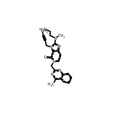 CC#CCn1c(N(C)CCN)nc2ccn(Cc3nc(C)c4ccccc4n3)c(=O)c21